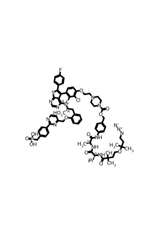 Cc1c(-c2c(-c3ccc(F)cc3)sc3ncnc(O[C@H](Cc4ccccc4OCc4ccnc(-c5ccc(CP(=O)(O)O)cc5)n4)C(=O)O)c23)ccc(OCCN2CCN(C(=O)OCc3ccc(NC(=O)[C@H](C)NC(=O)[C@@H](NC(=O)C(C)(C)CCOC(C)(C)CCN=[N+]=[N-])C(C)C)cc3)CC2)c1Cl